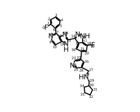 Fc1ccccc1-c1nccc2[nH]c(-c3n[nH]c4c(F)cc(-c5cncc(CNCC6CCCC6)c5)cc34)nc12